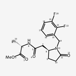 COC(=O)[C@@H](NC(=O)C[C@@H]1CCC(=O)N1Cc1cccc(F)c1F)C(C)C